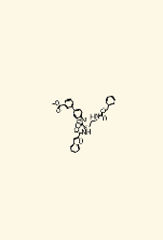 COC(=O)c1cccc(-c2ccc(NC(=O)[C@H](CCCNC(=O)OCc3ccccc3)NC(=O)c3cc4ccccc4o3)cc2)c1